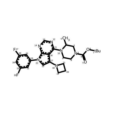 CC1CN(C(=O)OC(C)(C)C)CCN1c1ncnc2c1c(N1CCC1)cn2-c1cc(F)cc(F)c1